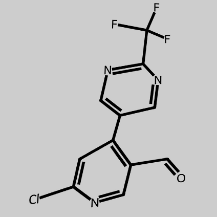 O=Cc1cnc(Cl)cc1-c1cnc(C(F)(F)F)nc1